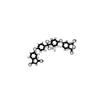 CC(C)(c1ccc(Oc2ccc3c(c2)C(=O)CC3=O)cc1)c1ccc(Oc2ccc3c(c2)C(=O)OC3=O)cc1